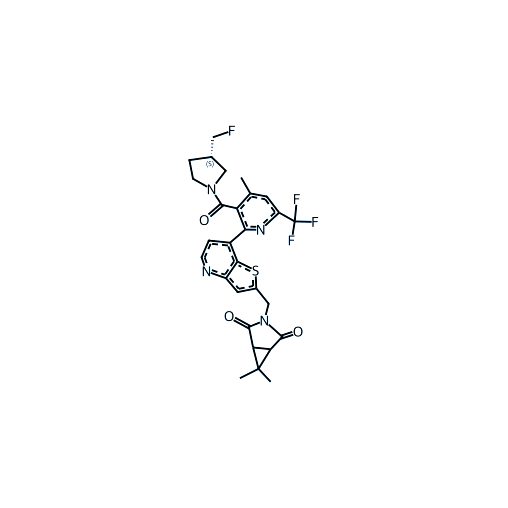 Cc1cc(C(F)(F)F)nc(-c2ccnc3cc(CN4C(=O)C5C(C4=O)C5(C)C)sc23)c1C(=O)N1CC[C@H](CF)C1